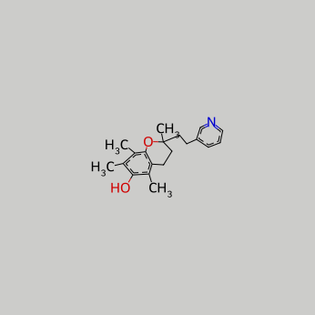 Cc1c(C)c2c(c(C)c1O)CCC(C)(CCc1cccnc1)O2